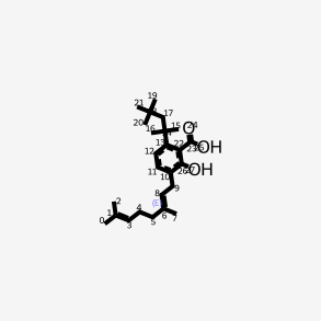 CC(C)=CCC/C(C)=C/Cc1ccc(C(C)(C)CC(C)(C)C)c(C(=O)O)c1O